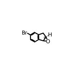 Brc1ccc2c(c1)C[C@H]1OC21